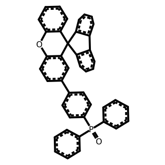 O=P(c1ccccc1)(c1ccccc1)c1ccc(-c2ccc3c(c2)C2(c4ccccc4O3)c3ccccc3-c3ccccc32)cc1